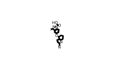 N#Cc1ccc2c(n1)CCCC2Oc1ccc2c(c1)c(I)nn2C(=O)O